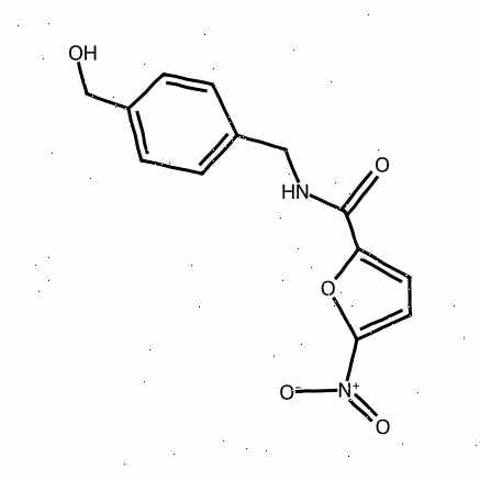 O=C(NCc1ccc(CO)cc1)c1ccc([N+](=O)[O-])o1